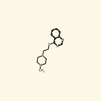 CN1CCN(CCOc2ncnc3ccccc23)CC1